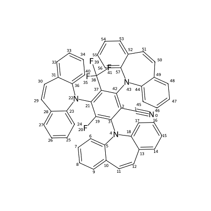 N#Cc1c(N2c3ccccc3C=Cc3ccccc32)c(F)c(N2c3ccccc3C=Cc3ccccc32)c(C(F)(F)F)c1N1c2ccccc2C=Cc2ccccc21